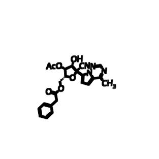 CC(=O)O[C@H]1[C@@H](O)[C@](C#N)(c2ccc3c(C)ncnn23)O[C@@H]1COC(=O)Cc1ccccc1